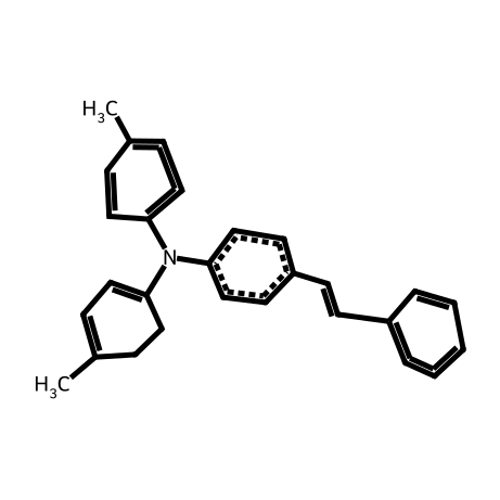 CC1=C=C=C(N(C2=CC=C(C)CC2)c2ccc(C=CC3=C=C=CC=C3)cc2)C=C1